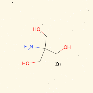 NC(CO)(CO)CO.[Zn]